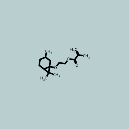 C=C(C)C(=O)OCCOC12CC(C)CCC1C2(C)C